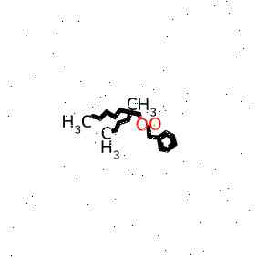 CCCCCCC(C)(CCCC)COC(=O)Cc1ccccc1